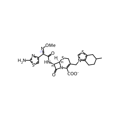 CO/N=C(\C(=O)N[C@@H]1C(=O)N2C(C(=O)[O-])=C(C[n+]3csc4c3CCC(C)C4)CS[C@H]12)c1csc(N)n1